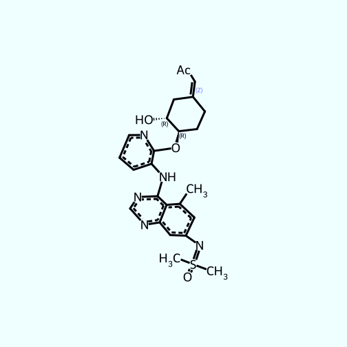 CC(=O)/C=C1/CC[C@@H](Oc2ncccc2Nc2ncnc3cc(N=S(C)(C)=O)cc(C)c23)[C@H](O)C1